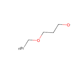 CCCCOCCC[O]